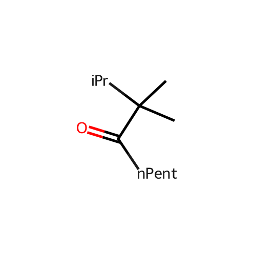 CCCCCC(=O)C(C)(C)C(C)C